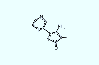 Cc1c(N)n(-c2cnccn2)[nH]c1=O